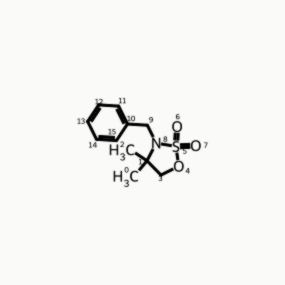 CC1(C)COS(=O)(=O)N1Cc1ccccc1